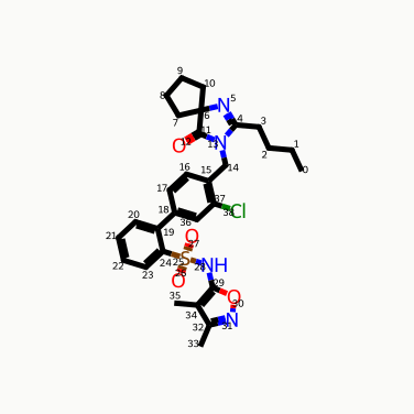 CCCCC1=NC2(CCCC2)C(=O)N1Cc1ccc(-c2ccccc2S(=O)(=O)Nc2onc(C)c2C)cc1Cl